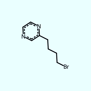 BrCCCCc1cnccn1